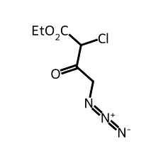 CCOC(=O)C(Cl)C(=O)CN=[N+]=[N-]